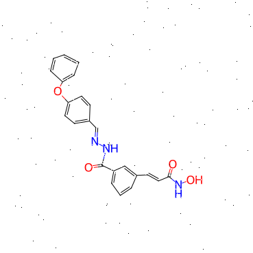 O=C(/C=C/c1cccc(C(=O)N/N=C/c2ccc(Oc3ccccc3)cc2)c1)NO